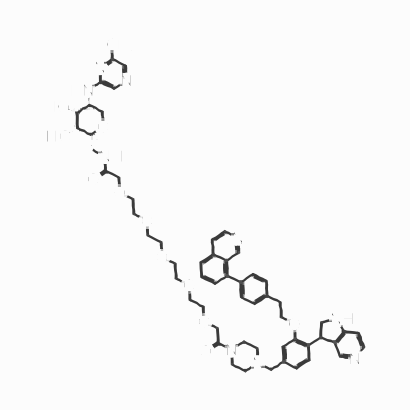 O=C(COCCOCCOCCOCCOCC(=O)N1CCN(Cc2ccc(C3CNc4ccncc43)c(OCCc3ccc(-c4cccc5ccncc45)cc3)c2)CC1)NC[C@H]1OC[C@H](Nc2cncc(C(F)(F)F)n2)[C@@H](O)[C@H]1O